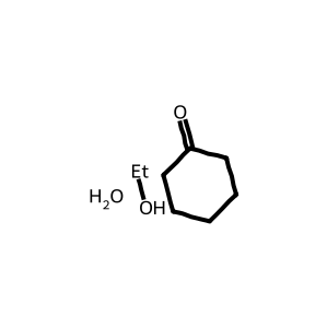 CCO.O.O=C1CCCCC1